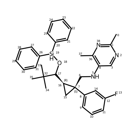 Cc1ncc(NC[C@@]2(c3cccc(F)c3)C[C@H]2C(O[SiH](c2ccccc2)c2ccccc2)C(C)(C)C)c(C)n1